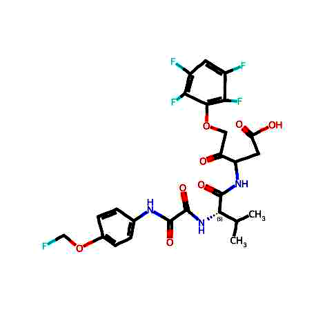 CC(C)[C@H](NC(=O)C(=O)Nc1ccc(OCF)cc1)C(=O)NC(CC(=O)O)C(=O)COc1c(F)c(F)cc(F)c1F